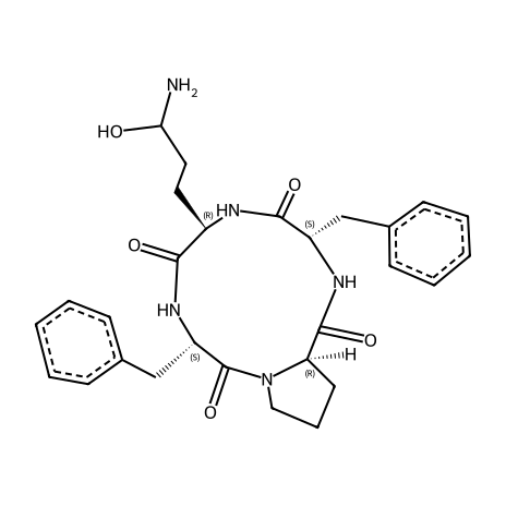 NC(O)CC[C@H]1NC(=O)[C@H](Cc2ccccc2)NC(=O)[C@H]2CCCN2C(=O)[C@H](Cc2ccccc2)NC1=O